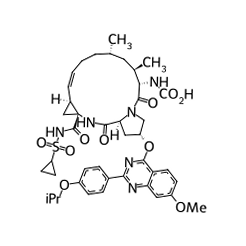 COc1ccc2c(O[C@@H]3C[C@H]4C(=O)N[C@]5(C(=O)NS(=O)(=O)C6CC6)C[C@H]5C=CCC[C@H](C)C[C@@H](C)[C@H](NC(=O)O)C(=O)N4C3)nc(-c3ccc(OC(C)C)cc3)nc2c1